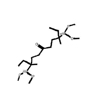 CCC(C)(CCC(=O)CCC(C)(CC)[SiH](OC)OC)[SiH](OC)OC